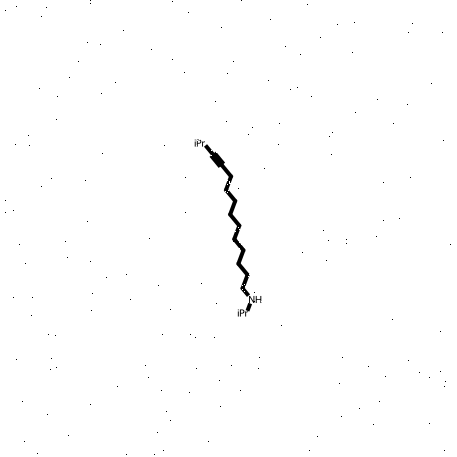 CC(C)C#CCCCCCCCCCCNC(C)C